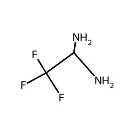 NC(N)C(F)(F)F